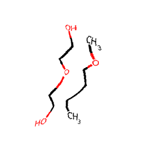 CCCCOC.OCCOCCO